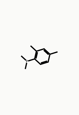 Cc1ccc(P(C)C)c(C)c1